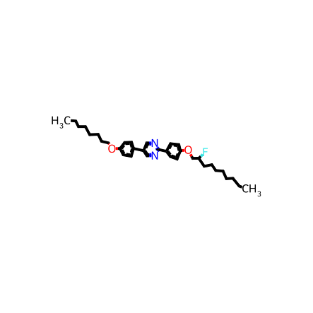 CCCCCCCCOc1ccc(-c2cnc(-c3ccc(OCC(F)CCCCCCCC)cc3)nc2)cc1